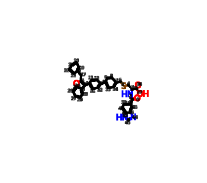 O=C(N[C@@H](CSCc1ccc(-c2ccc(-c3c(Cc4ccccc4)oc4ccccc34)cc2)cc1)C(=O)O)c1ccc2[nH]cnc2c1